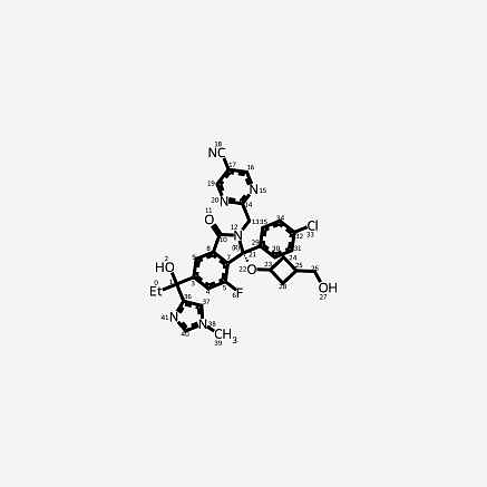 CCC(O)(c1cc(F)c2c(c1)C(=O)N(Cc1ncc(C#N)cn1)[C@@]2(OC1CC(CO)C1)c1ccc(Cl)cc1)c1cn(C)cn1